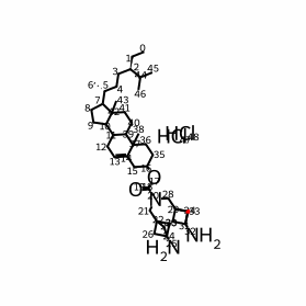 CC[C@H](CC[C@@H](C)C1CCC2C3CC=C4CC(OC(=O)N(CC56CC(N)(C5)C6)CC56CC(N)(C5)C6)CCC4(C)C3CCC21C)C(C)C.Cl.Cl